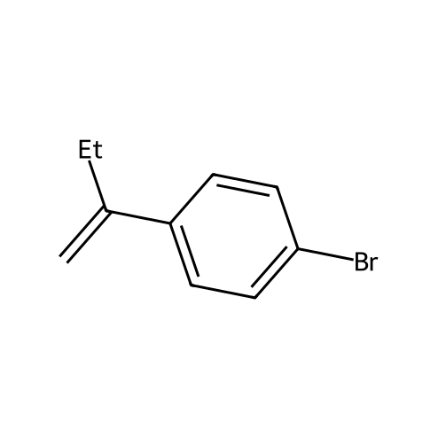 C=C(CC)c1ccc(Br)cc1